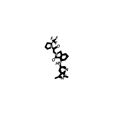 Cc1nn(C)c2ncc(Nc3cccc4c3C(=O)N(CC(=O)N3CCC[C@H]3C(F)(F)F)C4)cc12